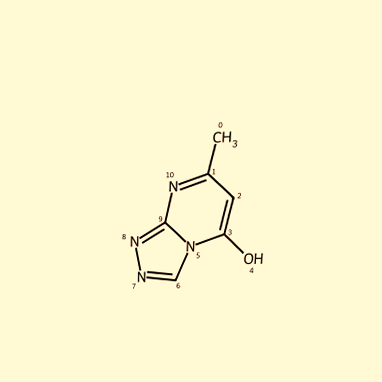 Cc1cc(O)n2cnnc2n1